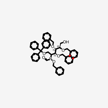 O=CN(OCc1ccccc1)C(COC(c1ccccc1)(c1ccccc1)c1ccccc1)[C@H](OCc1ccccc1)[C@H](OCc1ccccc1)[C@@H](CO)OCc1ccccc1